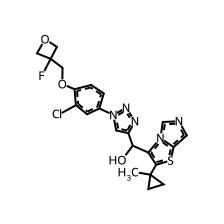 CC1(c2sc3cncn3c2C(O)c2cn(-c3ccc(OCC4(F)COC4)c(Cl)c3)nn2)CC1